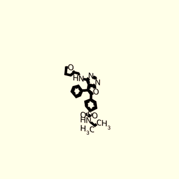 CC(C)NS(=O)(=O)c1ccc(-c2oc3ncnc(NCC4CCCO4)c3c2-c2ccccc2)cc1